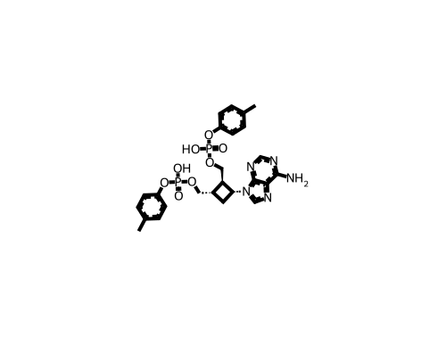 Cc1ccc(OP(=O)(O)OC[C@H]2C[C@@H](n3cnc4c(N)ncnc43)[C@@H]2COP(=O)(O)Oc2ccc(C)cc2)cc1